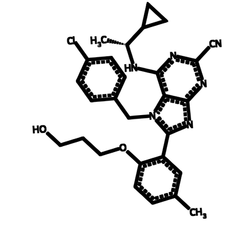 Cc1ccc(OCCCO)c(-c2nc3nc(C#N)nc(N[C@H](C)C4CC4)c3n2Cc2ccc(Cl)cc2)c1